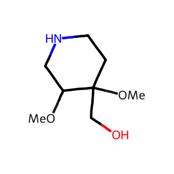 COC1CNCCC1(CO)OC